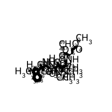 CCOC(=O)CC[C@@H](NC(=O)/C(C)=C/[C@H](C(C)C)N(C)C(=O)[C@@H](NC(=O)[C@@H](N)C(C)(C)c1cn(C)c2ccccc12)C(C)(C)C)C(=O)OCC